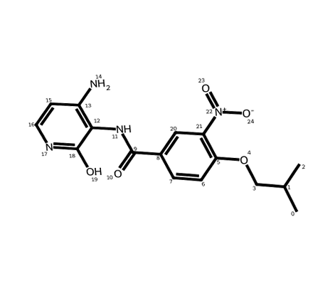 CC(C)COc1ccc(C(=O)Nc2c(N)ccnc2O)cc1[N+](=O)[O-]